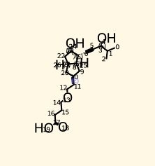 CC(C)[C@H](O)C#C[C@@H]1[C@H]2C/C(=C/COCCCC(=O)O)C[C@H]2C[C@H]1O